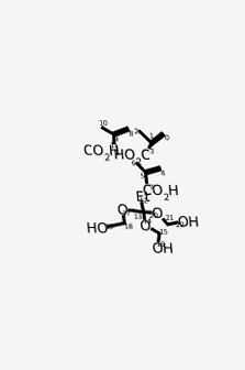 C=C(C)C(=O)O.C=C(C)C(=O)O.C=C(C)C(=O)O.CCC(OCO)(OCO)OCO